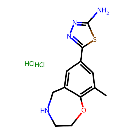 Cc1cc(-c2nnc(N)s2)cc2c1OCCNC2.Cl.Cl